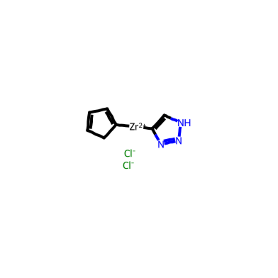 C1=CC[C]([Zr+2][c]2c[nH]nn2)=C1.[Cl-].[Cl-]